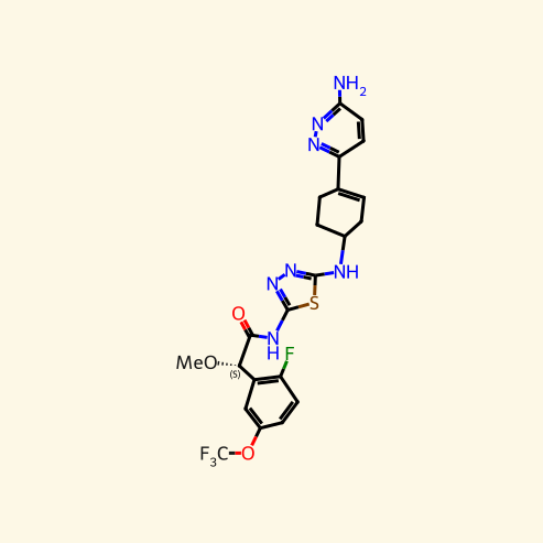 CO[C@H](C(=O)Nc1nnc(NC2CC=C(c3ccc(N)nn3)CC2)s1)c1cc(OC(F)(F)F)ccc1F